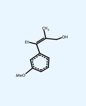 CC/C(=C(\C)CO)c1cccc(OC)c1